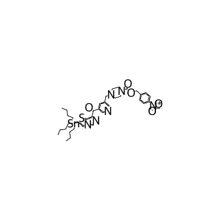 CCC[CH2][Sn]([CH2]CCC)([CH2]CCC)[c]1cn2cnc(C(=O)c3cncc(CN4CCN(C(=O)OCc5ccc([N+](=O)[O-])cc5)CC4)c3)c2s1